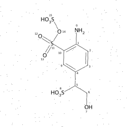 Nc1ccc(C(CO)S(=O)(=O)O)cc1S(=O)(=O)OS(=O)(=O)O